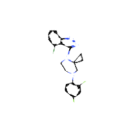 Fc1ccc(N2CCN(c3n[nH]c4cccc(Cl)c34)C3(CC3)C2)c(F)c1